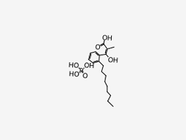 CCCCCCCCCc1ccccc1C(O)=C(C)C(=O)O.O=P(O)(O)O